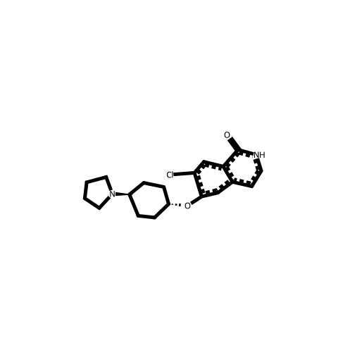 O=c1[nH]ccc2cc(O[C@H]3CC[C@H](N4CCCC4)CC3)c(Cl)cc12